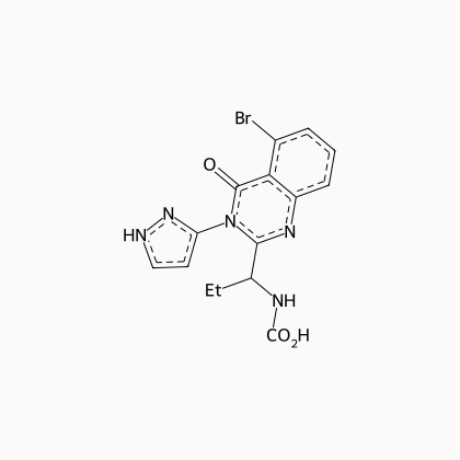 CCC(NC(=O)O)c1nc2cccc(Br)c2c(=O)n1-c1cc[nH]n1